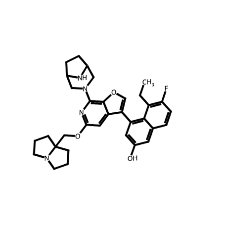 CCc1c(F)ccc2cc(O)cc(-c3coc4c(N5CC6CCC(C5)N6)nc(OCC56CCCN5CCC6)cc34)c12